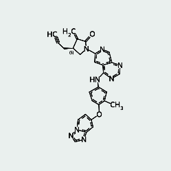 C#CC[C@@H]1CN(c2cc3c(Nc4ccc(Oc5ccn6ncnc6c5)c(C)c4)ncnc3cn2)C(=O)C1=C